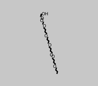 CCCCOCCCCOOCCCCOCCCCOCCCCOCCOO/C=C\O